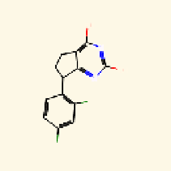 Oc1nc(O)c2c(n1)C(c1ccc(Cl)cc1F)CC2